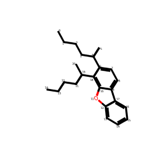 CCCCC(C)c1ccc2c(oc3ccccc32)c1C(C)CCCC